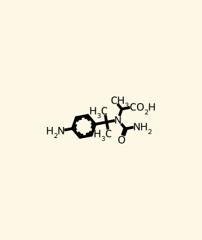 CC(C(=O)O)N(C(N)=O)C(C)(C)c1ccc(N)cc1